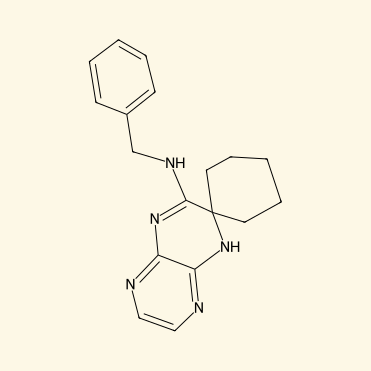 c1ccc(CNC2=Nc3nccnc3NC23CCCCC3)cc1